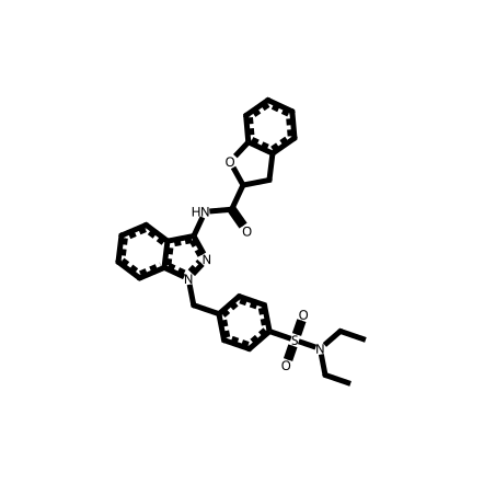 CCN(CC)S(=O)(=O)c1ccc(Cn2nc(NC(=O)C3Cc4ccccc4O3)c3ccccc32)cc1